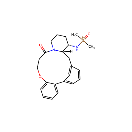 C[SH](C)(=O)N[C@H]1CCCN2C(=O)CCOc3ccccc3-c3cccc(c3)C[C@@H]12